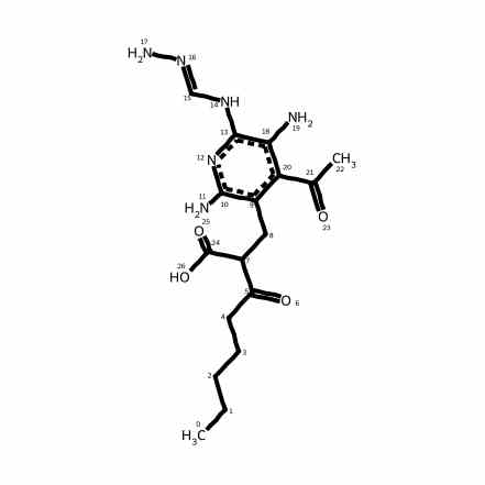 CCCCCC(=O)C(Cc1c(N)nc(NC=NN)c(N)c1C(C)=O)C(=O)O